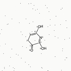 O=C1C[C]=C(O)N=C1O